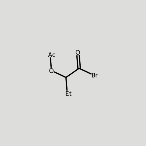 CCC(OC(C)=O)C(=O)Br